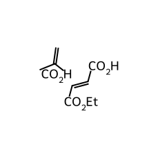 C=C(C)C(=O)O.CCOC(=O)C=CC(=O)O